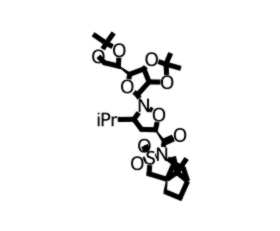 CC(C)C1C[C@H](C(=O)N2C3CC4CC[C@]3(CS2(=O)=O)C4(C)C)ON1C1OC([C@H]2COC(C)(C)O2)C2OC(C)(C)OC21